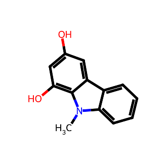 Cn1c2ccccc2c2cc(O)cc(O)c21